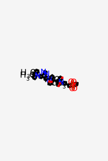 CC1(C)c2ccccc2N(c2ccc3c4ccc(N5c6ccccc6C(C)(CCC6(C)c7ccccc7N(c7ccc(-c8ccc9c(c8)S(=O)(=O)c8ccccc8S9(=O)=O)cc7)c7ccccc76)c6ccccc65)cc4c4nccnc4c3c2)c2ccccc21